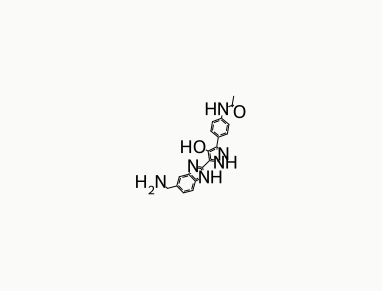 CC(=O)Nc1ccc(-c2n[nH]c(-c3nc4cc(CN)ccc4[nH]3)c2O)cc1